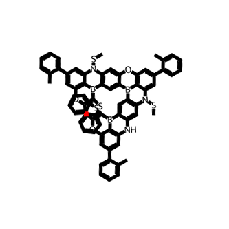 CSN1c2cc3c(cc2B2c4cc5c(cc4Oc4cc(-c6ccccc6C)cc1c42)N(SC)c1cc(-c2ccccc2C)cc2c1B5c1sc4ccccc4c1O2)B1c2sc4ccccc4c2Oc2cc(-c4ccccc4C)cc(c21)N3